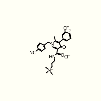 Cc1c(-c2cccc(C(F)(F)F)c2)c(=O)c(C(=O)NCCC[N+](C)(C)C)cn1Cc1ccc(C#N)cc1.[Cl-]